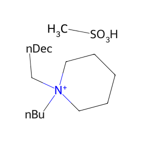 CCCCCCCCCCC[N+]1(CCCC)CCCCC1.CS(=O)(=O)O